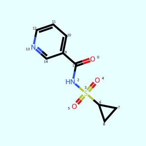 O=C(NS(=O)(=O)C1CC1)c1cccnc1